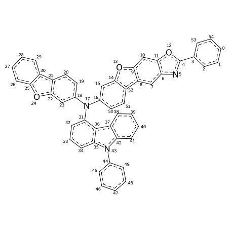 c1ccc(-c2nc3cc4c(cc3o2)oc2cc(N(c3ccc5c(c3)oc3ccccc35)c3cccc5c3c3ccccc3n5-c3ccccc3)ccc24)cc1